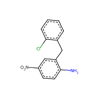 Nc1ccc([N+](=O)[O-])cc1Cc1ccccc1Cl